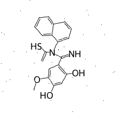 C=C(S)N(C(=N)c1cc(OC)c(O)cc1O)c1cccc2ccccc12